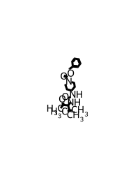 CC(=O)C(NC(=O)NC1CCN(C(=O)OCc2ccccc2)CC1)C(C)(C)C